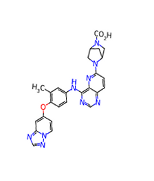 Cc1cc(Nc2ncnc3ccc(N4CC5CC4CN5C(=O)O)nc23)ccc1Oc1ccn2ncnc2c1